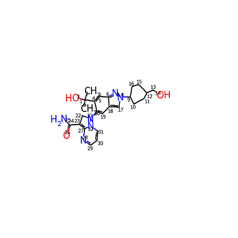 CC(C)(O)c1cc2nn(C3CCC(CO)CC3)cc2cc1N1CC(C(N)=O)=C2N=CC=CN21